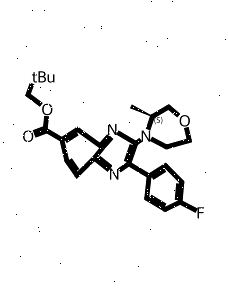 C[C@H]1COCCN1c1nc2cc(C(=O)OCC(C)(C)C)ccc2nc1-c1ccc(F)cc1